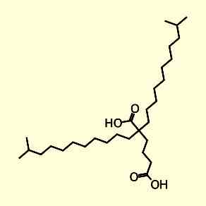 CC(C)CCCCCCCCCC(CCCCCCCCCC(C)C)(CCCC(=O)O)C(=O)O